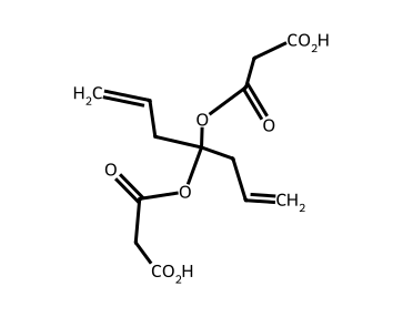 C=CCC(CC=C)(OC(=O)CC(=O)O)OC(=O)CC(=O)O